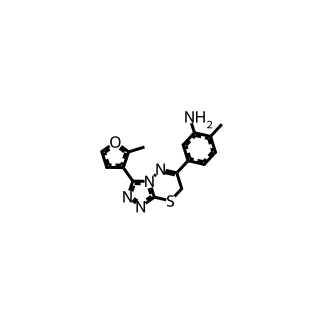 Cc1ccc(C2=Nn3c(nnc3-c3ccoc3C)SC2)cc1N